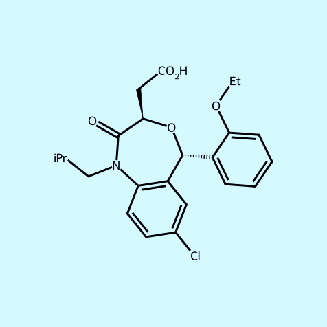 CCOc1ccccc1[C@H]1O[C@H](CC(=O)O)C(=O)N(CC(C)C)c2ccc(Cl)cc21